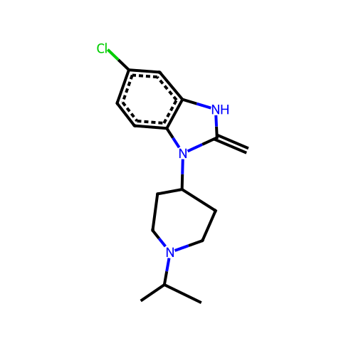 C=C1Nc2cc(Cl)ccc2N1C1CCN(C(C)C)CC1